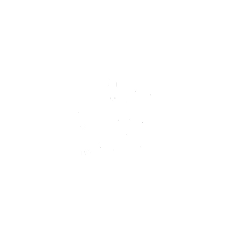 COc1cc(-c2ccccc2OC)c(O)cc1O